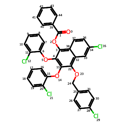 O=C(Oc1c(Oc2ccccc2Cl)c(Oc2ccccc2Cl)c(OCc2ccc(Cl)cc2)c2cc(Cl)ccc12)c1ccccc1